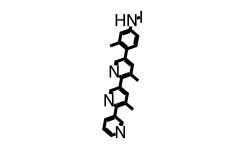 Cc1cc(NI)ccc1-c1cnc(-c2cnc(-c3cccnc3)c(C)c2)c(C)c1